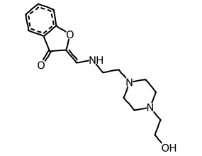 O=C1/C(=C/NCCN2CCN(CCO)CC2)Oc2ccccc21